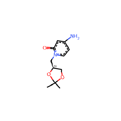 CC1(C)OC[C@H](Cn2ccc(N)cc2=O)O1